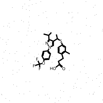 Cc1cc(SC(C)c2cn(-c3ccc(OC(F)(F)F)cc3)nc2C(C)C)ccc1CCC(=O)O